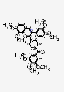 COc1ccc(/C=C(\C(=O)N2CCN(C(=O)c3cc(OC)c(OC)c(OC)c3)CC2)c2ccc(OC)c(OC)c2)cc1OC